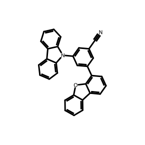 N#Cc1cc(-c2cccc3c2oc2ccccc23)cc(-n2c3ccccc3c3ccccc32)c1